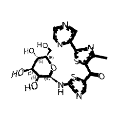 Cc1nc(-c2cnccn2)sc1C(=O)c1cnc(N[C@@H]2O[C@H](CO)[C@@H](O)[C@H](O)[C@@H]2O)s1